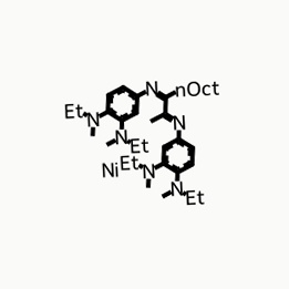 CCCCCCCCC(=Nc1ccc(N(C)CC)c(N(C)CC)c1)C(C)=Nc1ccc(N(C)CC)c(N(C)CC)c1.[Ni]